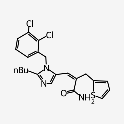 CCCCc1ncc(C=C(Cc2cccs2)C(N)=O)n1Cc1cccc(Cl)c1Cl